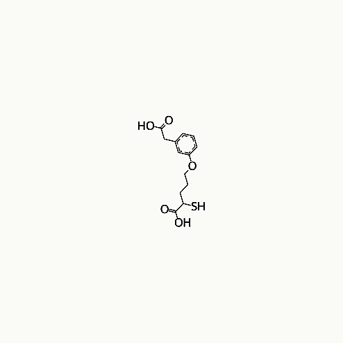 O=C(O)Cc1cccc(OCCCC(S)C(=O)O)c1